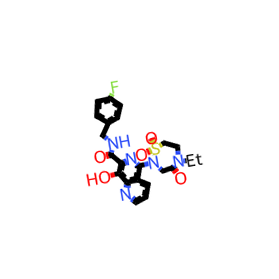 CCN1CCS(=O)(=O)N(c2nc(C(=O)NCc3ccc(F)cc3)c(O)c3ncccc23)CC1=O